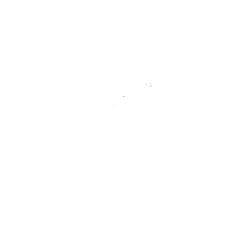 Nc1ccc(OCC2CCCC2)c(F)c1